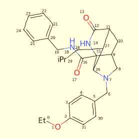 CCOc1ccc(CN2CC3CC4C(=O)NC3(C(=O)NCc3ccccc3)C2C4CC(C)C)cc1